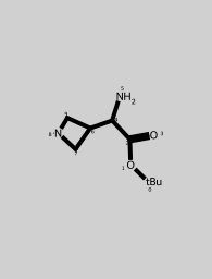 CC(C)(C)OC(=O)C(N)C1C[N]C1